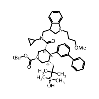 COCCCN1CC(CN(C(=O)[C@H]2CN(C(=O)OC(C)(C)C)C[C@@H](CC(C)(C)[Si](C)(C)O)[C@@H]2c2cccc(-c3ccccc3)c2)C2CC2)c2ccccc21